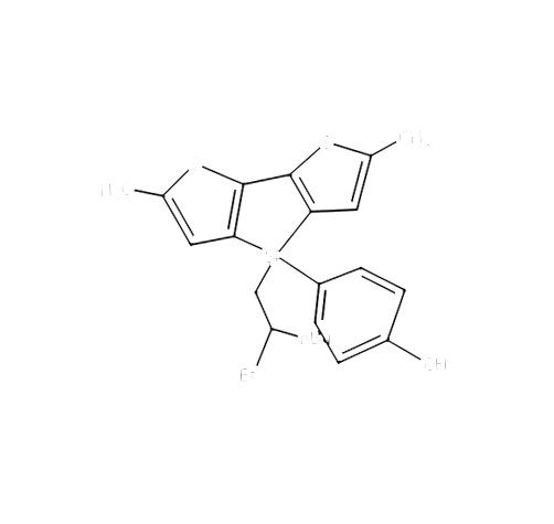 CCCCC(CC)C[Si]1(c2ccc(C)cc2)c2cc(C)sc2-c2sc(C)cc21